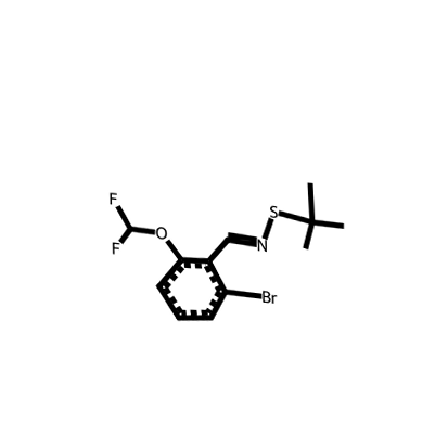 CC(C)(C)SN=Cc1c(Br)cccc1OC(F)F